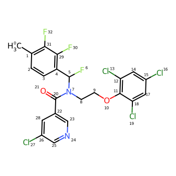 Cc1ccc(C(F)N(CCOc2c(Cl)cc(Cl)cc2Cl)C(=O)c2cncc(Cl)c2)c(F)c1F